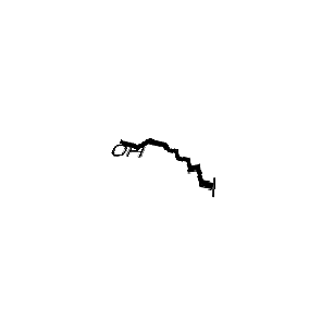 OCC/C=C\CCCCCCCI